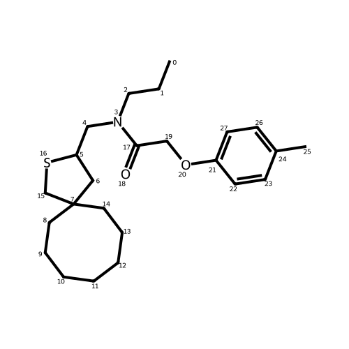 CCCN(CC1CC2(CCCCCCC2)CS1)C(=O)COc1ccc(C)cc1